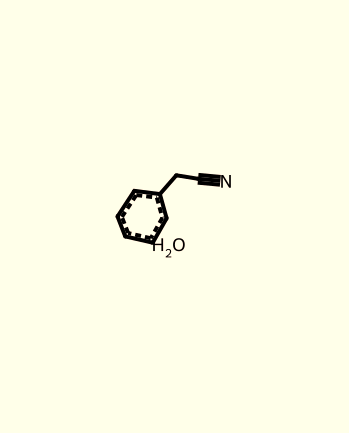 N#CCc1ccccc1.O